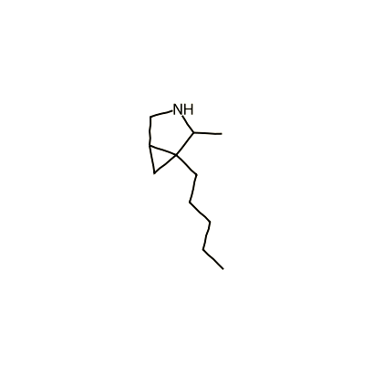 CCCCCC12CC1CNC2C